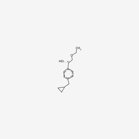 CCOC[C@@H](O)c1ccc(CC2CC2)cc1